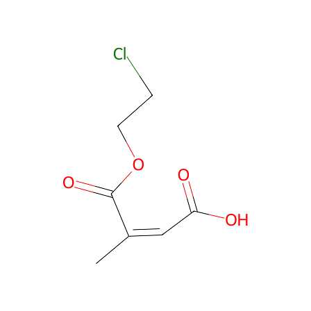 CC(=CC(=O)O)C(=O)OCCCl